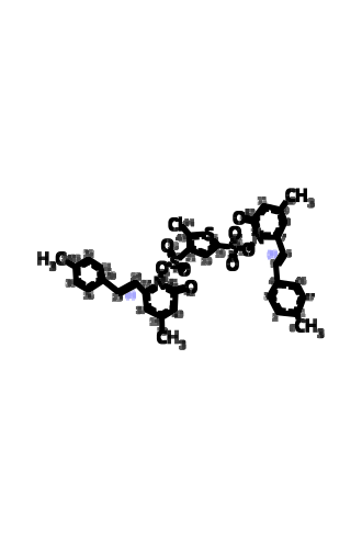 Cc1ccc(/C=C/c2cc(C)cc(=O)n2OS(=O)(=O)c2cc(S(=O)(=O)On3c(/C=C/c4ccc(C)cc4)cc(C)cc3=O)c(Cl)s2)cc1